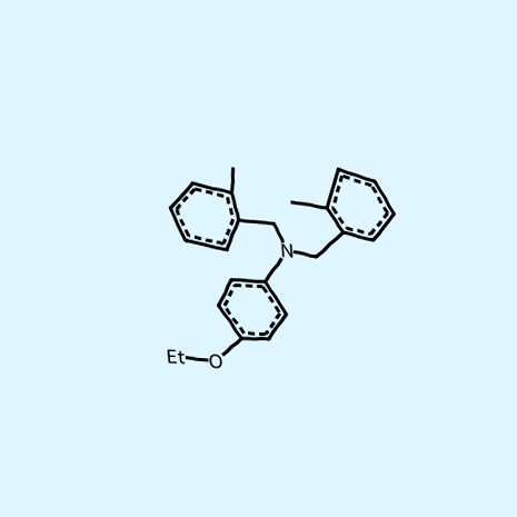 CCOc1ccc(N(Cc2ccccc2C)Cc2ccccc2C)cc1